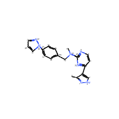 Cc1n[nH]cc1-c1ccnc(N(C)Cc2ccc(-n3cccn3)cc2)n1